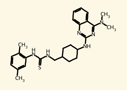 Cc1ccc(C)c(NC(=S)NCC2CCC(Nc3nc(N(C)C)c4ccccc4n3)CC2)c1